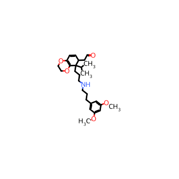 COc1cc(CCCNCCCC2(C(C)C)C3=C(C=CC2CC=O)OCCO3)cc(OC)c1